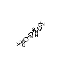 Cc1cn2cc(NC(=O)c3ccc(C4=CCN(C(=O)OC(C)(C)C)CC4)nc3)ccc2n1